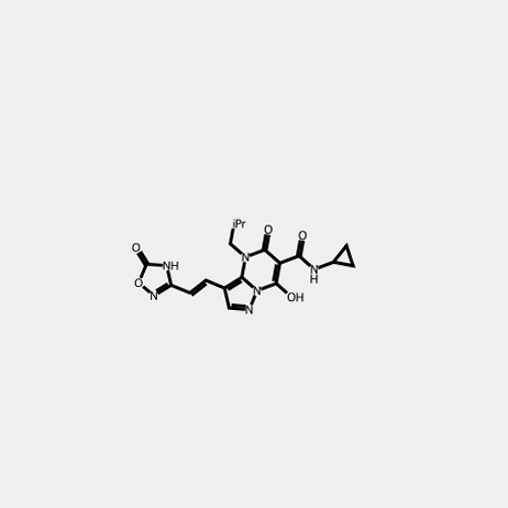 CC(C)Cn1c(=O)c(C(=O)NC2CC2)c(O)n2ncc(C=Cc3noc(=O)[nH]3)c12